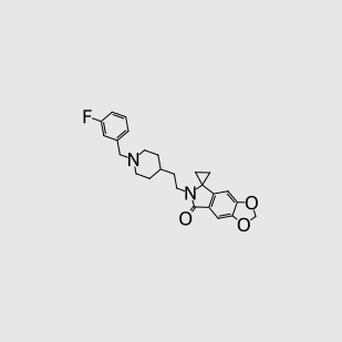 O=C1c2cc3c(cc2C2(CC2)N1CCC1CCN(Cc2cccc(F)c2)CC1)OCO3